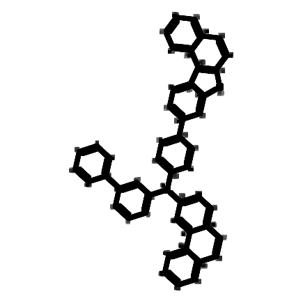 c1ccc(-c2cccc(N(c3ccc(-c4ccc5c(c4)oc4ccc6ccccc6c45)cc3)c3ccc4ccc5ccccc5c4c3)c2)cc1